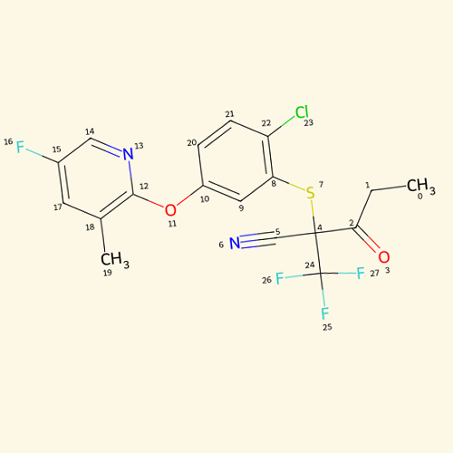 CCC(=O)C(C#N)(Sc1cc(Oc2ncc(F)cc2C)ccc1Cl)C(F)(F)F